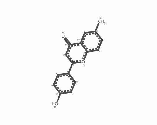 Cc1ccc2oc(-c3ccc(O)cc3)cc(=O)c2c1